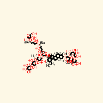 CC[C@H](C)[C@H](C[C@H](O)CC(=O)OC(O)C(O[C@@H]1OC(C)[C@H](O[C@H]2OCC(O)[C@H](O[C@H]3OCC(O)[C@H](O)C3O)C2O)C(O)C1O)[C@H](OC(=O)[C@]12CCC(C)(C)CC1C1=CCC3[C@@]4(C)CC[C@H](O[C@@H]5OC(C(=O)O)[C@H](O)C(O[C@@H]6OC[C@@H](O)C(O)C6O)C5O[C@@H]5OC(CO)[C@H](O)C(O)C5O)[C@@](C)(C=O)C4CC[C@@]3(C)[C@]1(C)C[C@H]2O)OC(C)C)OC(=O)C[C@@H](O)C[C@H](OC1(O)CO[C@@H](CO)C1O)[C@@H](C)CC